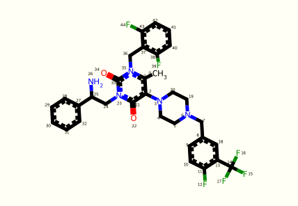 Cc1c(N2CCN(Cc3ccc(F)c(C(F)(F)F)c3)CC2)c(=O)n(CC(N)c2ccccc2)c(=O)n1Cc1c(F)cccc1F